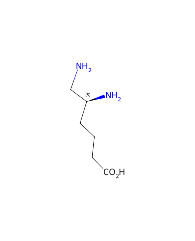 NC[C@@H](N)CCCC(=O)O